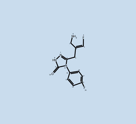 NC/C(=C\F)Cc1n[nH]c(=O)n1-c1ccc(F)cc1